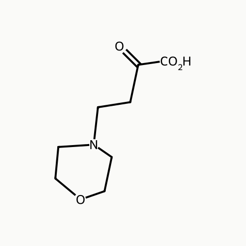 O=C(O)C(=O)CCN1CCOCC1